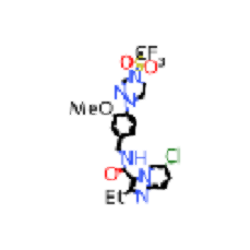 CCc1nc2ccc(Cl)cn2c1C(=O)NCc1ccc(N2CCN(S(=O)(=O)C(F)(F)F)C=N2)c(OC)c1